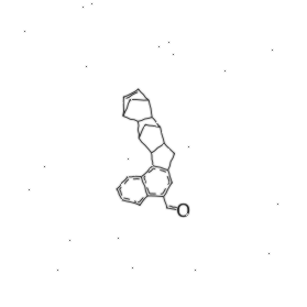 O=Cc1cc2c(c3ccccc13)C1C(C2)C2CC1C1C3C=CC(C3)C21